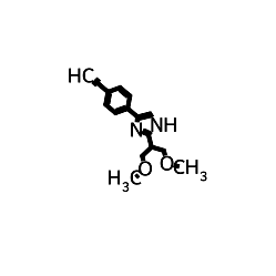 C#Cc1ccc(-c2c[nH]c(C(COC)COC)n2)cc1